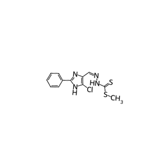 CSC(=S)N/N=C\c1nc(-c2ccccc2)[nH]c1Cl